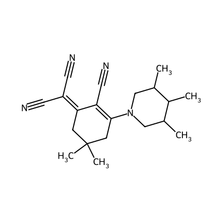 CC1CN(C2=C(C#N)C(=C(C#N)C#N)CC(C)(C)C2)CC(C)C1C